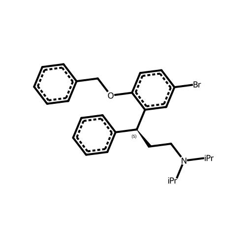 CC(C)N(CC[C@@H](c1ccccc1)c1cc(Br)ccc1OCc1ccccc1)C(C)C